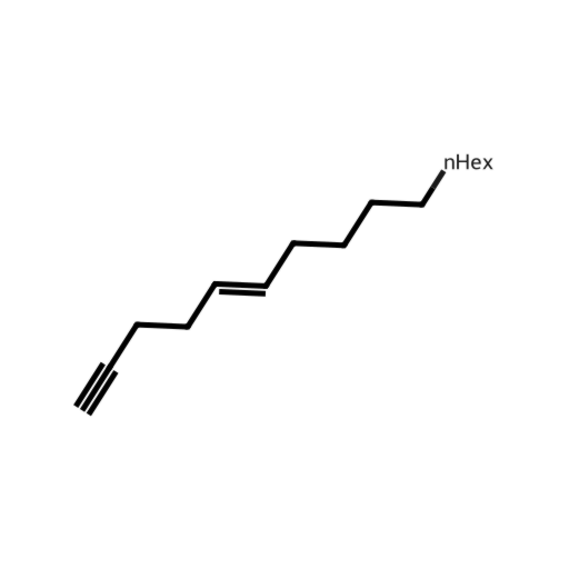 C#CCCC=CCCCCCCCCCC